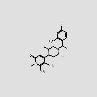 CC(c1ccc(F)cc1C(F)(F)F)N1C[C@H](C)N(c2cc(=O)n(C)c(N)c2N)C[C@H]1C